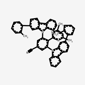 Cc1cc(C)nc(-c2c(-n3c4ccccc4c4ccc(-c5ccccc5C)cc43)cc(C#N)cc2-n2c3ccccc3c3ccc(-c4ccccc4C)cc32)n1